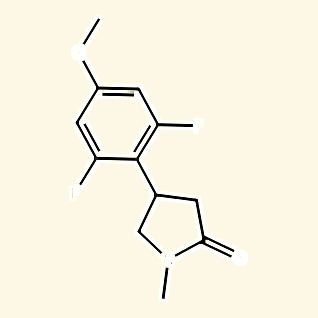 COc1cc(F)c(C2CC(=O)N(C)C2)c(F)c1